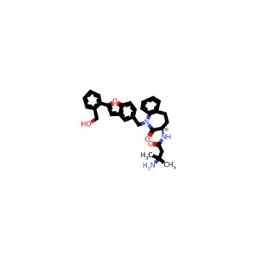 CC(C)(N)CC(=O)N[C@@H]1CCc2ccccc2N(Cc2ccc3oc(-c4ccccc4CO)cc3c2)C1=O